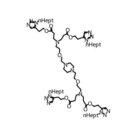 CCCCCCCn1nncc1CCOC(=O)CCN(CCOCCN1CCN(CCOCCN(CCC(=O)OCCc2cnnn2CCCCCCC)CCC(=O)OCCc2cnnn2CCCCCCC)CC1)CCC(=O)OCCc1cnnn1CCCCCCC